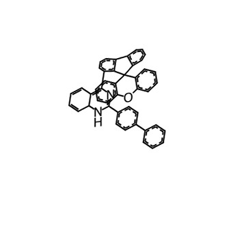 C1=CC2=C(c3cccc4c3C3(c5ccccc5Oc5ccccc53)c3ccccc3-4)N=C(c3ccc(-c4ccccc4)cc3)NC2C=C1